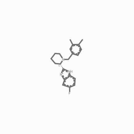 Cc1ccc(CN2CCCC[C@H]2c2nc3cc(F)ccc3[nH]2)cc1C